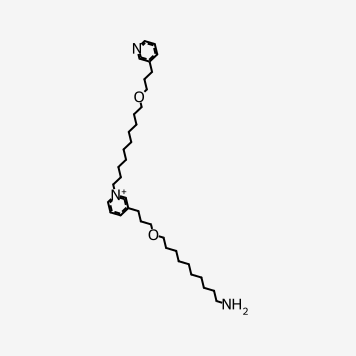 NCCCCCCCCCCOCCCc1ccc[n+](CCCCCCCCCCOCCCc2cccnc2)c1